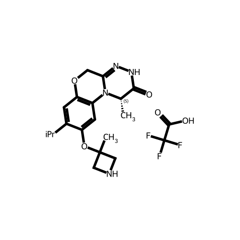 CC(C)c1cc2c(cc1OC1(C)CNC1)N1C(=NNC(=O)[C@@H]1C)CO2.O=C(O)C(F)(F)F